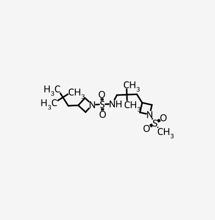 CC(C)(C)CC1CN(S(=O)(=O)NCC(C)(C)CC2CN(S(C)(=O)=O)C2)C1